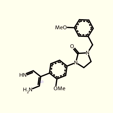 COc1cccc(CN2CCN(c3ccc(/C(C=N)=C/N)c(OC)c3)C2=O)c1